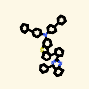 C1=c2sc3cc(N(c4ccc(-c5ccccc5)cc4)c4ccc(-c5ccccc5)cc4)ccc3c2=C(c2ccccc2-c2nc(-c3ccccc3)c3ccccc3n2)CC1